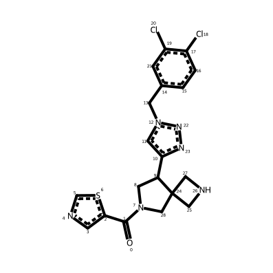 O=C(c1cncs1)N1CC(c2cn(Cc3ccc(Cl)c(Cl)c3)nn2)C2(CNC2)C1